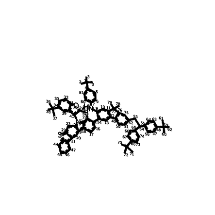 CC(C)(C)c1ccc(Nc2cc3c(cc2-c2ccc4c5cc6c(cc5n5c4c2Bc2oc4ccc(C(C)(C)C)cc4c2-5)sc2ccccc26)-c2ccc(CC(c4ccc(C(C)(C)C)cc4)c4ccc(C(C)(C)C)cc4)cc2C3(C)C)cc1